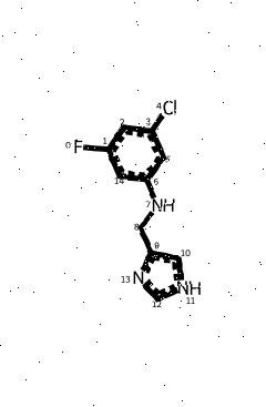 Fc1cc(Cl)cc(NCc2c[nH]cn2)c1